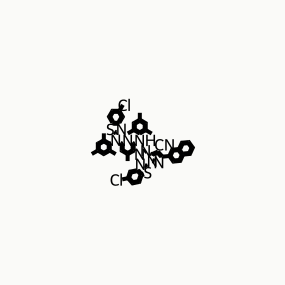 Cc1cc(C)c(Nc2nc(N(c3nc4cc(Cl)ccc4s3)c3c(C)cc(C)cc3C)cc(C)c2/N=N/c2c(C#N)c(-c3ccc4ccccc4c3)nn2-c2nc3cc(Cl)ccc3s2)c(C)c1